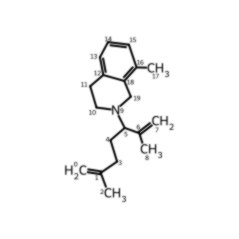 C=C(C)CCC(C(=C)C)N1CCc2cccc(C)c2C1